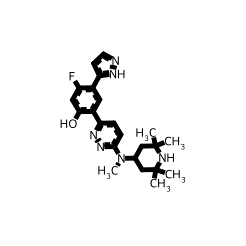 CN(c1ccc(-c2cc(-c3ccn[nH]3)c(F)cc2O)nn1)C1CC(C)(C)NC(C)(C)C1